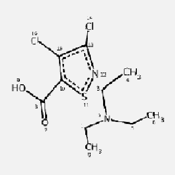 CCN(CC)CC.O=C(O)c1snc(Cl)c1Cl